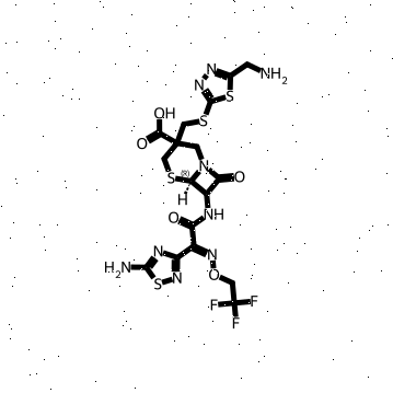 NCc1nnc(SCC2(C(=O)O)CS[C@@H]3C(NC(=O)C(=NOCC(F)(F)F)c4nsc(N)n4)C(=O)N3C2)s1